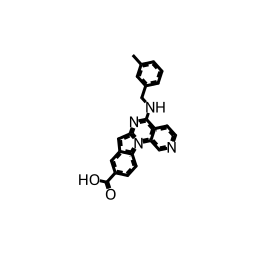 Cc1cccc(CNc2nc3cc4cc(C(=O)O)ccc4n3c3cnccc23)c1